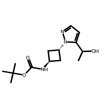 CC(O)c1ccnn1[C@H]1C[C@H](NC(=O)OC(C)(C)C)C1